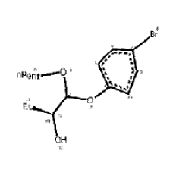 CCCCCOC(Oc1ccc(Br)cc1)[C@@H](O)CC